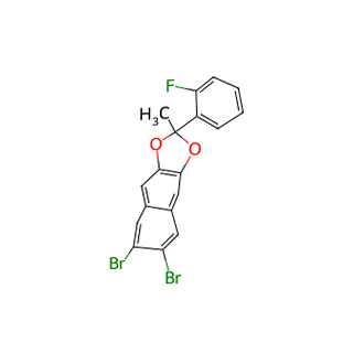 CC1(c2ccccc2F)Oc2cc3cc(Br)c(Br)cc3cc2O1